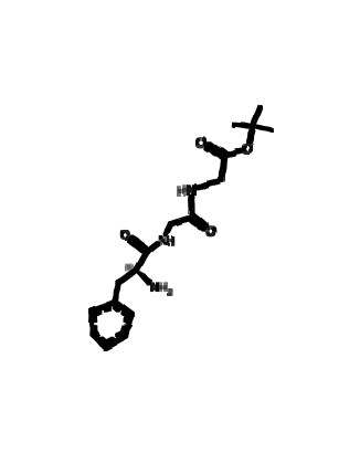 CC(C)(C)OC(=O)CNC(=O)CNC(=O)[C@@H](N)Cc1ccccc1